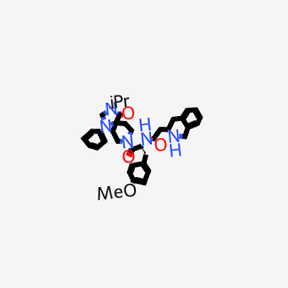 COc1ccc(C[C@@H](NC(=O)CC2Cc3ccccc3CN2)C(=O)N2CCC3(CC2)C(=O)N(C(C)C)CN3c2ccccc2)cc1